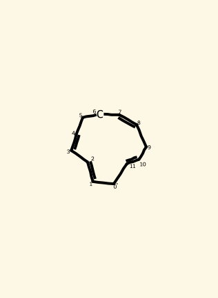 [CH]1/C=C/C=C\CC/C=C\C/C=C/1